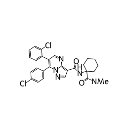 CNC(=O)C1(NC(=O)c2cnn3c(-c4ccc(Cl)cc4)c(-c4ccccc4Cl)cnc23)CCCCC1